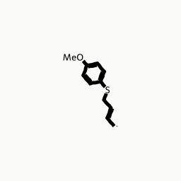 [CH2]/C=C/CSc1ccc(OC)cc1